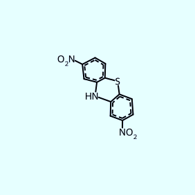 O=[N+]([O-])c1ccc2c(c1)Nc1cc([N+](=O)[O-])ccc1S2